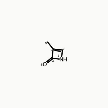 CC1=CNC1=O